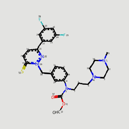 CN1CCN(CCCN(C(=O)OC=O)c2cccc(Cn3nc(-c4cc(F)cc(F)c4)ccc3=S)c2)CC1